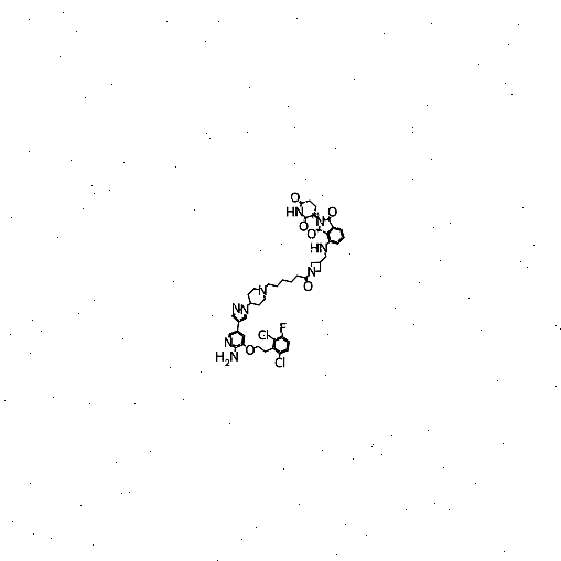 Nc1ncc(-c2cnn(C3CCN(CCCCCC(=O)N4CC(CNc5cccc6c5C(=O)N([C@@H]5CCC(=O)NC5=O)C6=O)C4)CC3)c2)cc1OCCc1c(Cl)ccc(F)c1Cl